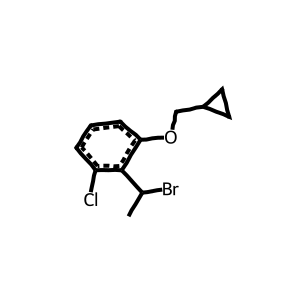 CC(Br)c1c(Cl)cccc1OCC1CC1